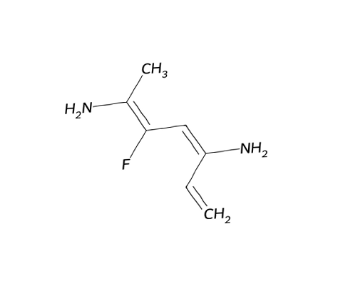 C=C/C(N)=C\C(F)=C(/C)N